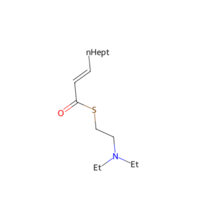 CCCCCCCC=CC(=O)SCCN(CC)CC